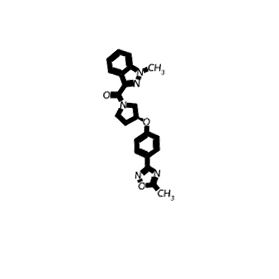 Cc1nc(-c2ccc(O[C@H]3CCN(C(=O)c4nn(C)c5ccccc45)C3)cc2)no1